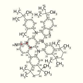 Cc1cc(C(C)(C)C)ccc1N1c2cc(C#N)cc3c2B(c2cc4c(cc2N3c2cc3c(cc2-c2ccccc2)C(C)(C)CCC3(C)C)C(C)(C)CCC4(C)C)c2sc3ccc(C(C)(C)C)cc3c21